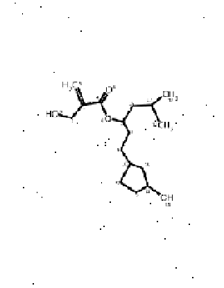 C=C(CO)C(=O)OC(CCC1CCC(O)C1)CC(C)C